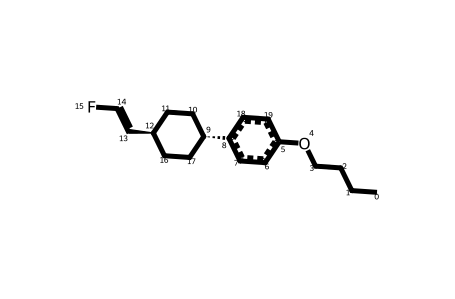 CCCCOc1ccc([C@H]2CC[C@H](C=CF)CC2)cc1